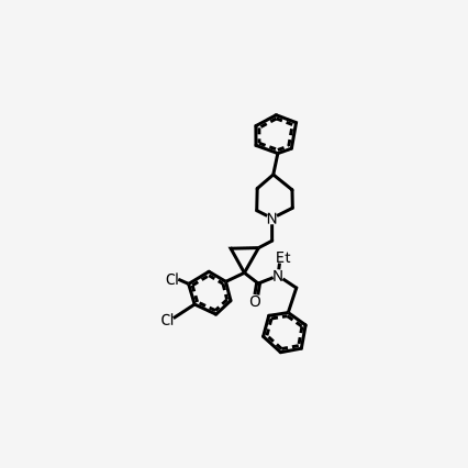 CCN(Cc1ccccc1)C(=O)C1(c2ccc(Cl)c(Cl)c2)CC1CN1CCC(c2ccccc2)CC1